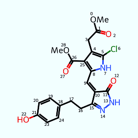 COC(=O)Cc1c(Cl)[nH]c(C=C2C(=O)NN=C2CCc2ccc(O)cc2)c1C(=O)OC